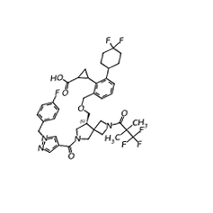 CC(C)(C(=O)N1CC2(CN(C(=O)c3cnn(Cc4ccc(F)cc4)c3)C[C@H]2COCc2cccc(C3CCC(F)(F)CC3)c2C2CC2C(=O)O)C1)C(F)(F)F